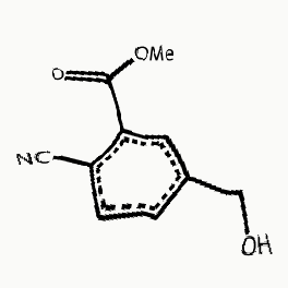 COC(=O)c1cc(CO)ccc1C#N